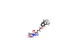 CC(=O)c1cc(OCCCCC(=O)NN2CCOCC2)ccc1[N+](=O)[O-]